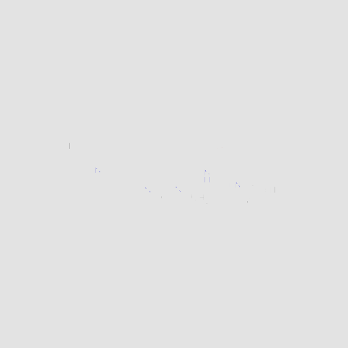 C=N/C(=C\C(=N/C)c1ccc(C(F)(F)F)nc1)CNC(=O)[C@@H]1CCC(C)(C)N1